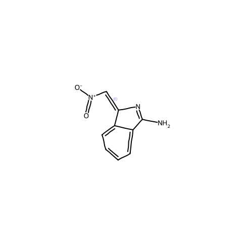 NC1=N/C(=C/[N+](=O)[O-])c2ccccc21